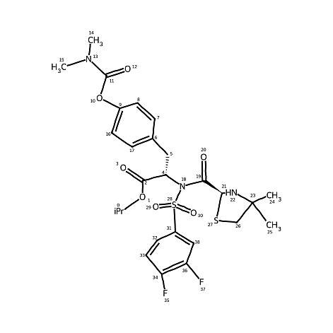 CC(C)OC(=O)[C@H](Cc1ccc(OC(=O)N(C)C)cc1)N(C(=O)[C@H]1NC(C)(C)CS1)S(=O)(=O)c1ccc(F)c(F)c1